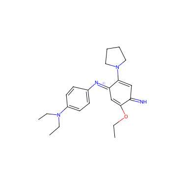 CCOC1=C/C(=N\c2ccc(N(CC)CC)cc2)C(N2CCCC2)=CC1=N